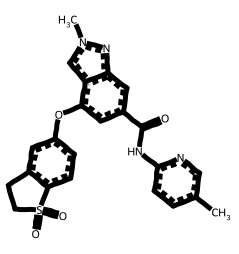 Cc1ccc(NC(=O)c2cc(Oc3ccc4c(c3)CCS4(=O)=O)c3cn(C)nc3c2)nc1